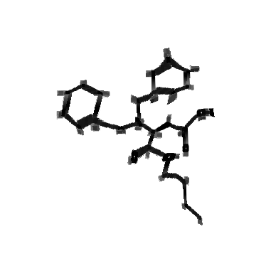 CCCCOC(=O)[C@H](CC(=O)O)N(Cc1ccccc1)Cc1ccccc1